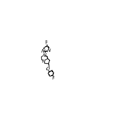 Fc1ccc(OCC2CC3CN(c4ncc(F)cn4)CCN3C2)cc1